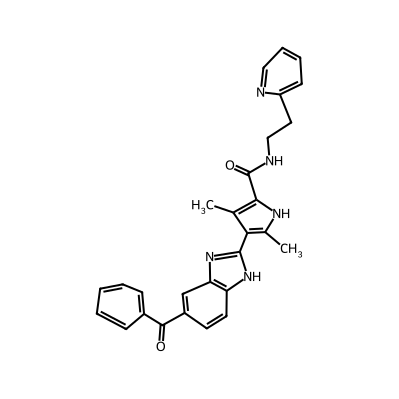 Cc1[nH]c(C(=O)NCCc2ccccn2)c(C)c1-c1nc2cc(C(=O)c3ccccc3)ccc2[nH]1